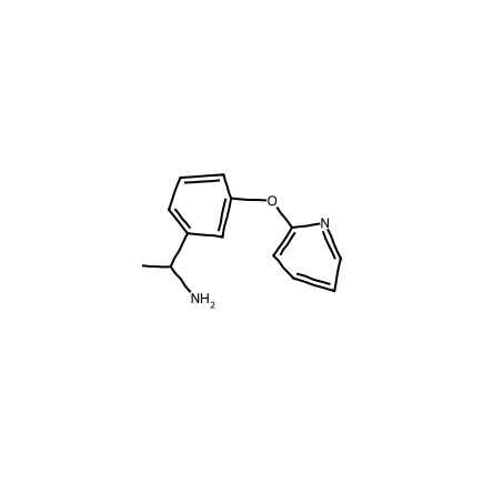 CC(N)c1cccc(Oc2ccccn2)c1